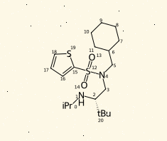 CC(C)N[C@H](CN(CC1CCCCC1)S(=O)(=O)c1cccs1)C(C)(C)C